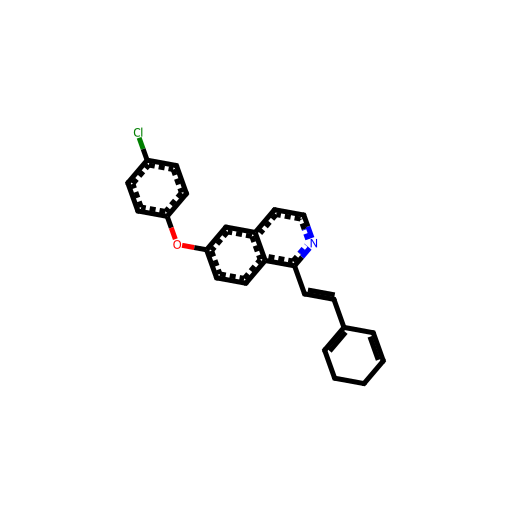 Clc1ccc(Oc2ccc3c(C=CC4=CCCC=C4)nccc3c2)cc1